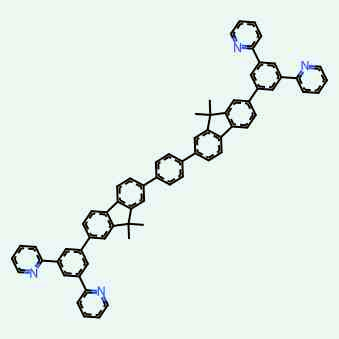 CC1(C)c2cc(-c3ccc(-c4ccc5c(c4)C(C)(C)c4cc(-c6cc(-c7ccccn7)cc(-c7ccccn7)c6)ccc4-5)cc3)ccc2-c2ccc(-c3cc(-c4ccccn4)cc(-c4ccccn4)c3)cc21